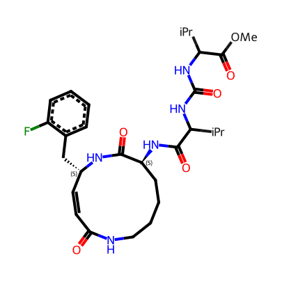 COC(=O)C(NC(=O)NC(C(=O)N[C@H]1CCCCNC(=O)C=C[C@H](Cc2ccccc2F)NC1=O)C(C)C)C(C)C